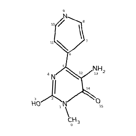 Cn1c(O)nc(-c2ccncc2)c(N)c1=O